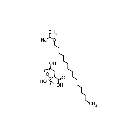 CCCCCCCCCCCCCCCCO[CH](C)[Na].O=C(O)CC(C(=O)O)S(=O)(=O)O